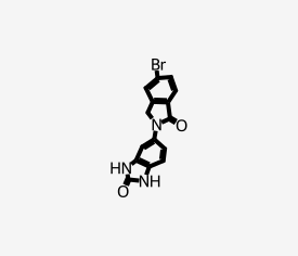 O=C1c2ccc(Br)cc2CN1c1ccc2[nH]c(=O)[nH]c2c1